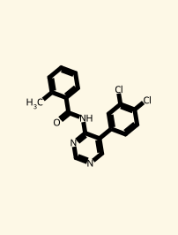 Cc1ccccc1C(=O)Nc1ncncc1-c1ccc(Cl)c(Cl)c1